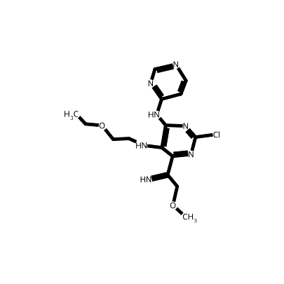 CCOCCNc1c(Nc2ccncn2)nc(Cl)nc1C(=N)COC